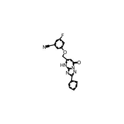 N#Cc1cc(F)cc(OCc2cc(=O)n3nc(-c4ccccc4)nc3[nH]2)c1